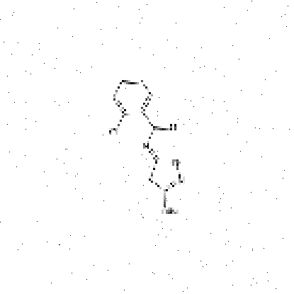 CCCCC1=N[N]C(=NC(=O)c2ccccc2Cl)S1